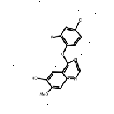 COc1cc2ncnc(Oc3ccc(Cl)cc3F)c2cc1O